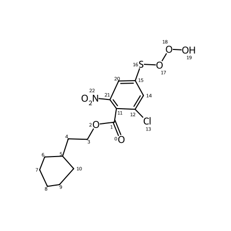 O=C(OCCC1CCCCC1)c1c(Cl)cc(SOOO)cc1[N+](=O)[O-]